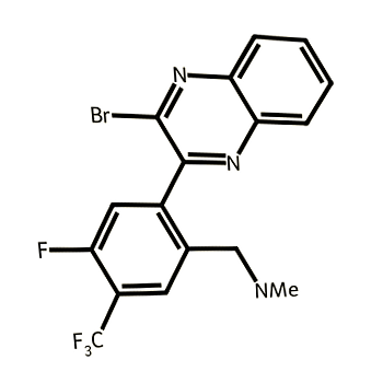 CNCc1cc(C(F)(F)F)c(F)cc1-c1nc2ccccc2nc1Br